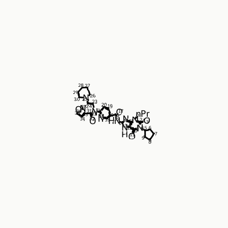 CCCn1c(=O)n(C2CCCC2)c(=O)c2[nH]c(NC(=O)c3ccc(N(CCN4CCCCC4)C(=O)c4ccon4)nc3)nc21